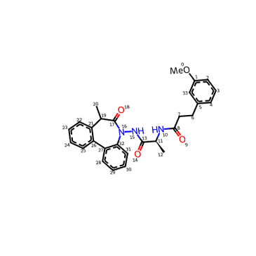 COc1cccc(CCC(=O)N[C@@H](C)C(=O)NN2C(=O)C(C)c3ccccc3-c3ccccc32)c1